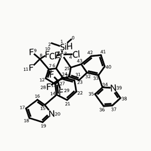 C[SiH](C)[Zr]([Cl])([Cl])([CH]1C(C(F)(F)F)=Cc2c(-c3ccccn3)cccc21)[CH]1C(C(F)(F)F)=Cc2c(-c3ccccn3)cccc21